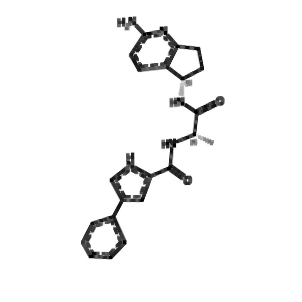 C[C@H](NC(=O)c1cc(-c2ccccc2)c[nH]1)C(=O)N[C@H]1CCc2nc(N)ccc21